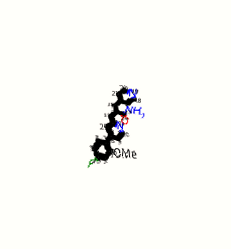 COc1cc(F)ccc1-c1ccnc(CC(Cc2ccncc2)C(N)=O)c1